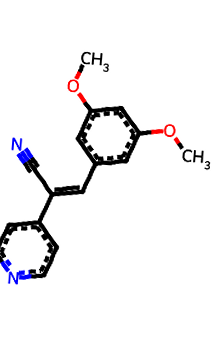 COc1cc(C=C(C#N)c2ccncc2)cc(OC)c1